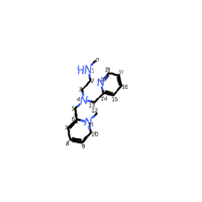 CNCCN(CC1=CC=CCN1C)Cc1ccccn1